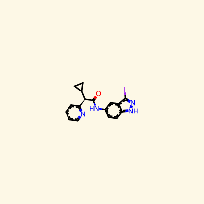 O=C(Nc1ccc2[nH]nc(I)c2c1)[C@@H](c1ccccn1)C1CC1